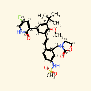 COc1c(C=Cc2ccc(NS(C)(=O)=O)cc2CN2CCOC2=O)cc(-c2cc(F)c[nH]c2=O)cc1C(C)(C)C